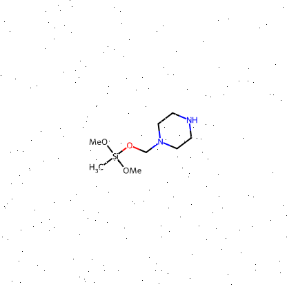 CO[Si](C)(OC)OCN1CCNCC1